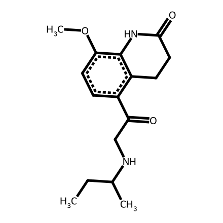 CCC(C)NCC(=O)c1ccc(OC)c2c1CCC(=O)N2